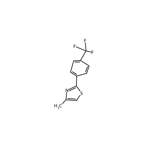 Cc1[c]sc(-c2ccc(C(F)(F)F)cc2)n1